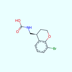 O=C(O)NC[C@H]1CCOc2c(Br)cccc21